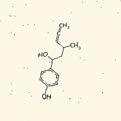 C=C=CC(C)CC(O)c1ccc(O)cc1